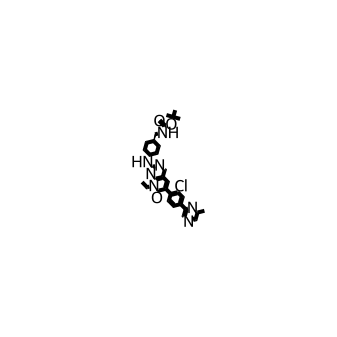 CCn1c(=O)c(-c2ccc(-c3cncc(C)n3)cc2Cl)cc2cnc(N[C@H]3CC[C@H](CNC(=O)OC(C)(C)C)CC3)nc21